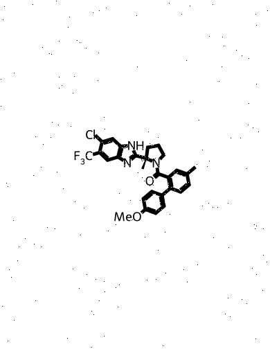 COc1ccc(-c2ccc(C)cc2C(=O)N2CCC[C@@]2(C)c2nc3cc(C(F)(F)F)c(Cl)cc3[nH]2)cc1